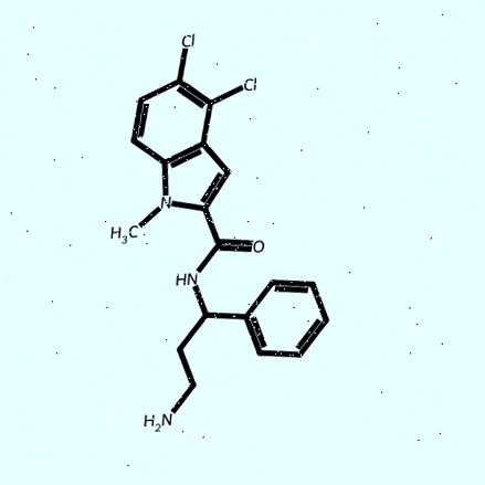 Cn1c(C(=O)NC(CCN)c2ccccc2)cc2c(Cl)c(Cl)ccc21